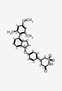 COc1cc(C)c(-c2cccc3c2CC[C@H]3Oc2ccc(C3CC(=O)NS(=O)(=O)C3)cc2)c(C)c1